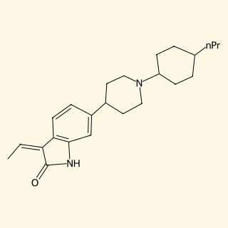 CC=C1C(=O)Nc2cc(C3CCN(C4CCC(CCC)CC4)CC3)ccc21